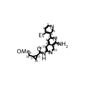 CCc1ccncc1-c1cc2cc(NC(=O)C3CC3COC)ncc2c(N)n1